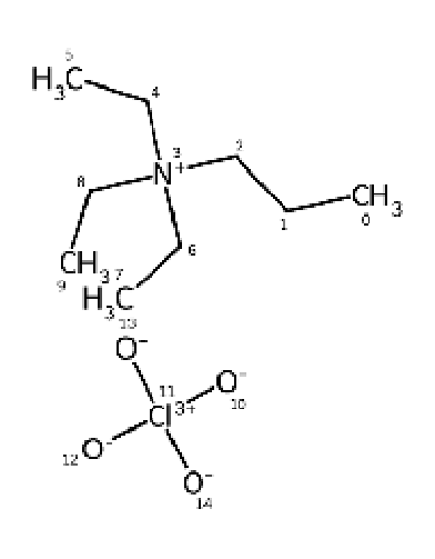 CCC[N+](CC)(CC)CC.[O-][Cl+3]([O-])([O-])[O-]